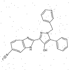 [C-]#[N+]c1ccc2nc(-c3nn(Cc4ccccc4)c(-c4ccccc4)c3O)[nH]c2c1